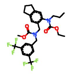 CCCN(C(=O)OCC)c1cc2c(cc1CN(Cc1cc(C(F)(F)F)cc(C(F)(F)F)c1)C(=O)OC)CCC2